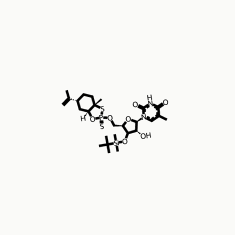 C=C(C)[C@@H]1CC[C@]2(C)SP(=S)(OC[C@H]3O[C@@H](n4cc(C)c(=O)[nH]c4=O)[C@H](O)C3O[Si](C)(C)C(C)(C)C)O[C@H]2C1